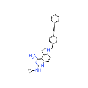 Nc1nc(NC2CC2)nc2ccc3c(ccn3Cc3ccc(C#Cc4ccccc4)cc3)c12